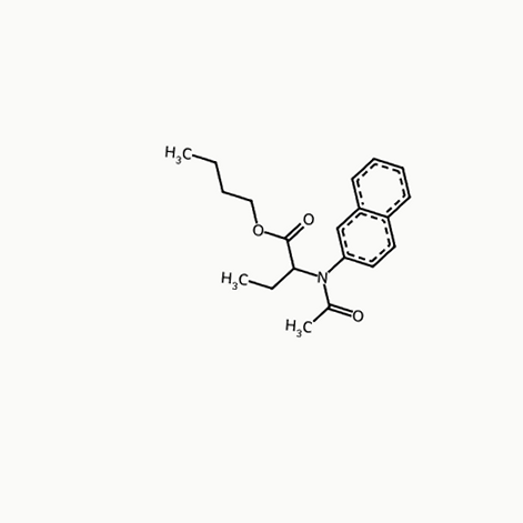 CCCCOC(=O)C(CC)N(C(C)=O)c1ccc2ccccc2c1